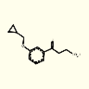 O=C(O)CCC(=O)c1cccc(OCC2CC2)c1